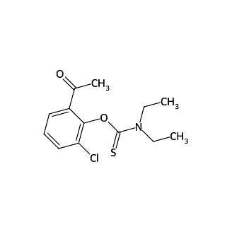 CCN(CC)C(=S)Oc1c(Cl)cccc1C(C)=O